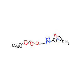 COCCOCCOCCOCCCNCc1ccc(-n2cc(C)ccc2=O)cc1